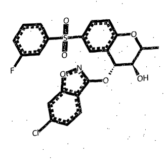 CC1Oc2ccc(S(=O)(=O)c3cccc(F)c3)cc2[C@@H](Oc2noc3cc(Cl)ccc23)[C@@H]1O